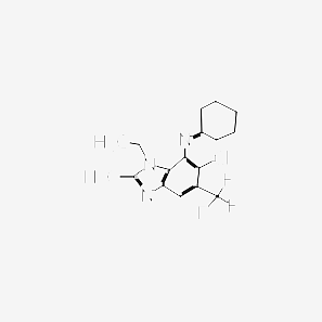 CCn1c(C)nc2cc(C(F)(F)F)c(Cl)c(N=C3CCCCC3)c21